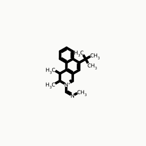 C/N=C\[N+]1=Cc2cc(C(C)(C)C)c3ccccc3c2C(C)C1C